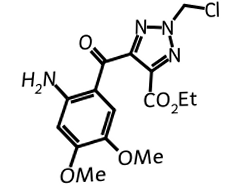 CCOC(=O)c1nn(CCl)nc1C(=O)c1cc(OC)c(OC)cc1N